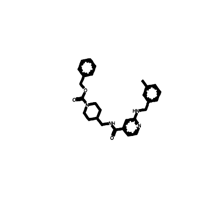 Cc1cccc(CNc2cc(C(=O)NCC3CCN(C(=O)OCc4ccccc4)CC3)ccn2)c1